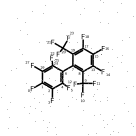 Fc1c(F)c(F)c(-c2c(C(F)(F)F)c(F)c(F)c(F)c2C(F)(F)F)c(F)c1F